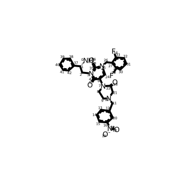 N[C@H](Cn1c(=O)c(N2CCN(Cc3cccc([N+](=O)[O-])c3)CC2=O)cn(Cc2c(F)cccc2F)c1=O)c1ccccc1